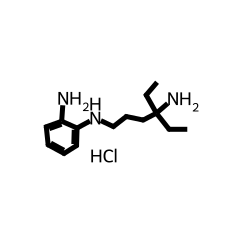 CCC(N)(CC)CCCNc1ccccc1N.Cl